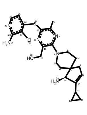 Cc1nc(N2CCC3(CC=C(C4CC4)[C@H]3N)CC2)c(CO)nc1Sc1ccnc(N)c1Cl